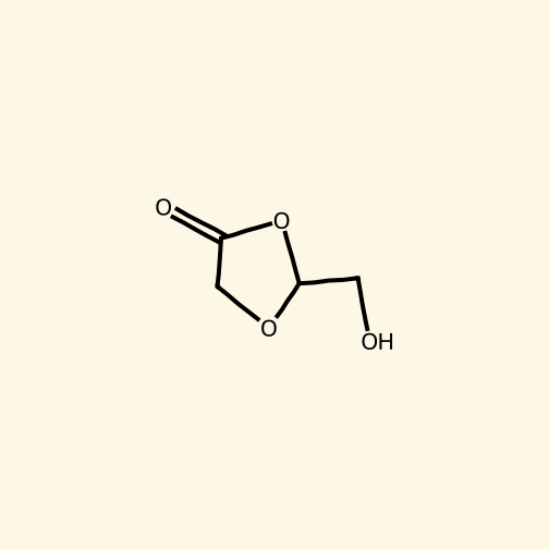 O=C1COC(CO)O1